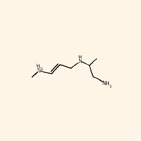 C[SiH2]C=CCNC(C)CN